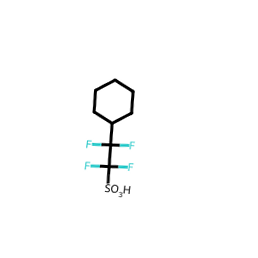 O=S(=O)(O)C(F)(F)C(F)(F)C1CCCCC1